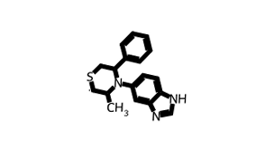 CC1[CH]SCC(c2ccccc2)N1c1ccc2[nH]cnc2c1